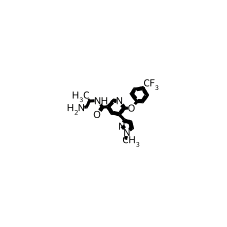 C[C@H](CN)NC(=O)c1cnc(Oc2ccc(C(F)(F)F)cc2)c(-c2ccn(C)n2)c1